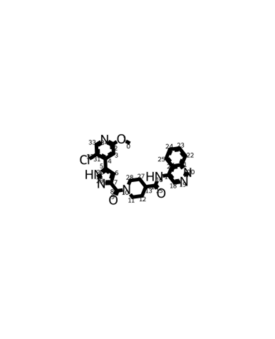 COc1cc(-c2cc(C(=O)N3CCC(C(=O)Nc4cnnc5ccccc45)CC3)n[nH]2)c(Cl)cn1